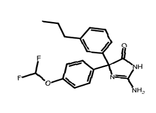 CCCc1cccc(C2(c3ccc(OC(F)F)cc3)N=C(N)NC2=O)c1